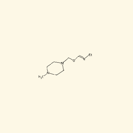 CC/N=C/OCN1CCN(C)CC1